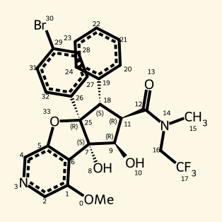 COc1cncc2c1[C@]1(O)[C@H](O)[C@H](C(=O)N(C)CC(F)(F)F)[C@@H](c3ccccc3)[C@]1(c1ccc(Br)cc1)O2